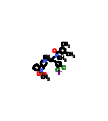 Cc1cc(C)cc(C(=O)N(C)CC(CC[N+]2(C)CCC3(CC2)CN(S(C)(=O)=O)c2ccccc23)c2ccc(Cl)c(Cl)c2)c1.[I-]